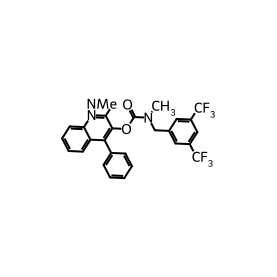 CNc1nc2ccccc2c(-c2ccccc2)c1OC(=O)N(C)Cc1cc(C(F)(F)F)cc(C(F)(F)F)c1